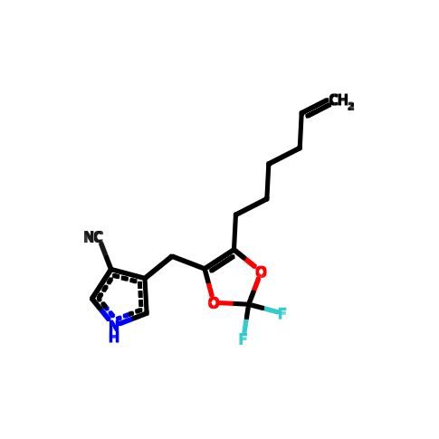 C=CCCCCC1=C(Cc2c[nH]cc2C#N)OC(F)(F)O1